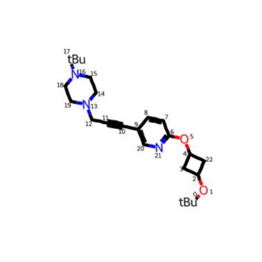 CC(C)(C)OC1CC(Oc2ccc(C#CCN3CCN(C(C)(C)C)CC3)cn2)C1